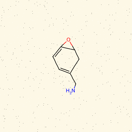 NCC1=CC=C2OC2C1